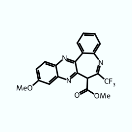 COC(=O)C1C(C(F)(F)F)=Nc2ccccc2-c2nc3ccc(OC)cc3nc21